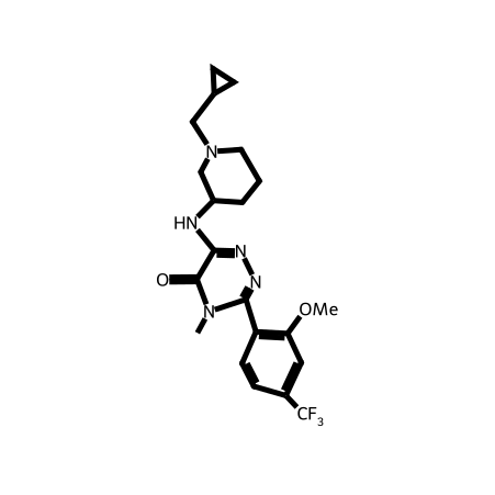 COc1cc(C(F)(F)F)ccc1-c1nnc(NC2CCCN(CC3CC3)C2)c(=O)n1C